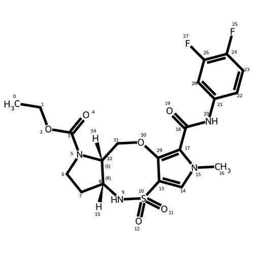 CCOC(=O)N1CC[C@H]2NS(=O)(=O)c3cn(C)c(C(=O)Nc4ccc(F)c(F)c4)c3OC[C@H]21